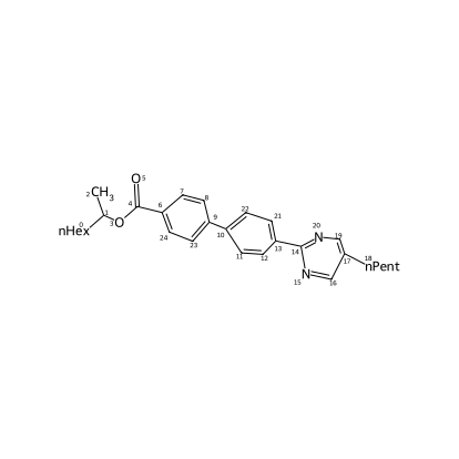 CCCCCCC(C)OC(=O)c1ccc(-c2ccc(-c3ncc(CCCCC)cn3)cc2)cc1